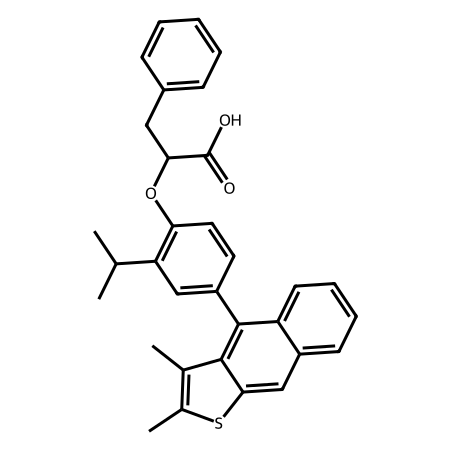 Cc1sc2cc3ccccc3c(-c3ccc(OC(Cc4ccccc4)C(=O)O)c(C(C)C)c3)c2c1C